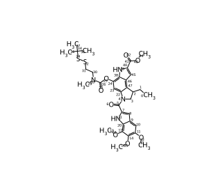 CCC1CN(C(=O)c2cc3cc(OC)c(OC)c(OC)c3[nH]2)c2cc(OC(=O)N(C)CCSSC(C)(C)C)c3[nH]c(C(=O)OC)cc3c21